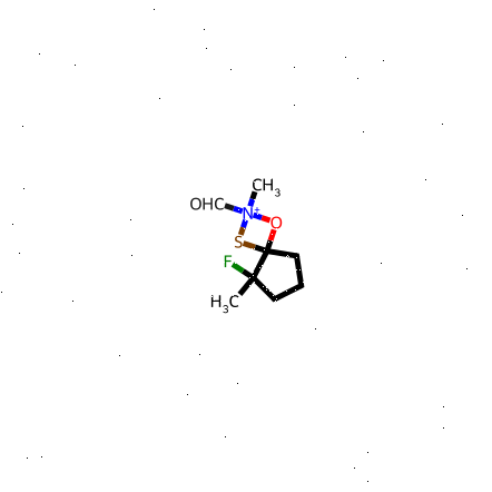 CC1(F)CCCC12O[N+](C)(C=O)S2